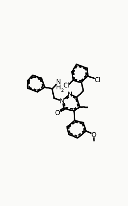 COc1cccc(-c2c(C)c(Cc3c(Cl)cccc3Cl)nn(CC(N)c3ccccc3)c2=O)c1